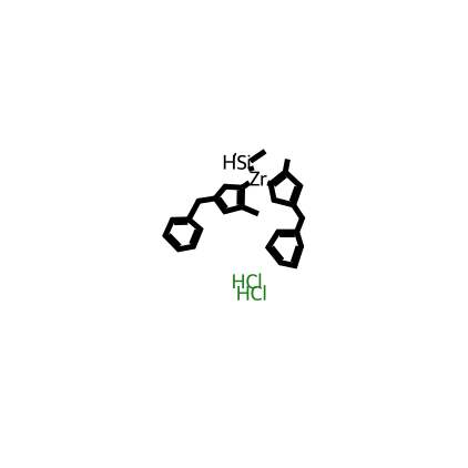 CC1=[C]([Zr]([C]2=C(C)C=C(Cc3ccccc3)C2)[SiH](C)C)CC(Cc2ccccc2)=C1.Cl.Cl